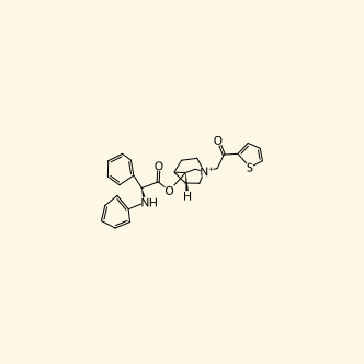 O=C(C[N+]12CCC(CC1)[C@@H](OC(=O)[C@@H](Nc1ccccc1)c1ccccc1)C2)c1cccs1